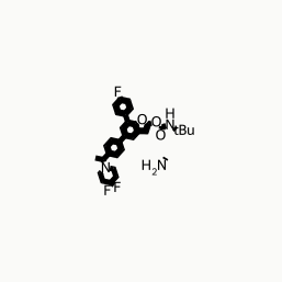 CC(c1ccc(-c2cc(-c3ccc(F)cc3)c3oc(OC(=O)NC(C)(C)C)cc3c2)cc1)N1CCC(F)(F)CC1.CN